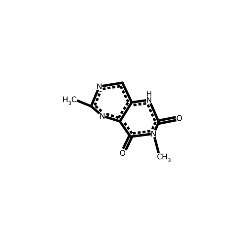 Cc1ncc2[nH]c(=O)n(C)c(=O)c2n1